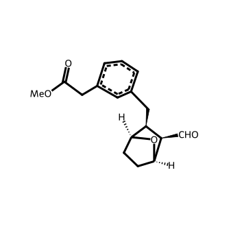 COC(=O)Cc1cccc(C[C@H]2[C@@H](C=O)[C@H]3CC[C@@H]2O3)c1